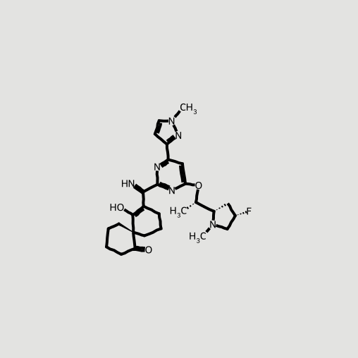 C[C@H](Oc1cc(-c2ccn(C)n2)nc(C(=N)C2=C(O)[C@]3(CCCCC3=O)CCC2)n1)[C@@H]1C[C@H](F)CN1C